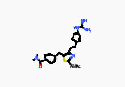 CC(=O)Nc1nc(CCc2ccc(NC(=N)N)cc2)c(Cc2ccc(C(=O)N(C)C)cc2)s1